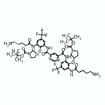 CC(C)(C)OC(=O)N1CCC(Oc2c(NC(=O)CCCCN)cc(C(F)(F)F)cc2NC(=O)c2cc(C(=O)Nc3cc(C(F)(F)F)cc(NC(=O)CCCCN)c3O[C@@H]3CCN(C(=O)OC(C)(C)C)C3)ncn2)C1